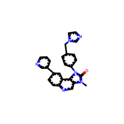 Cn1c(=O)n(-c2ccc(Cn3ccnc3)cc2)c2c3cc(-c4cccnc4)ccc3ncc21